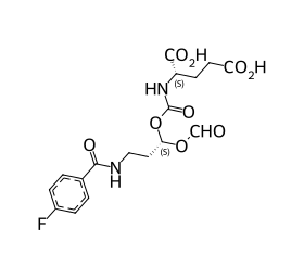 O=CO[C@H](CCNC(=O)c1ccc(F)cc1)OC(=O)N[C@@H](CCC(=O)O)C(=O)O